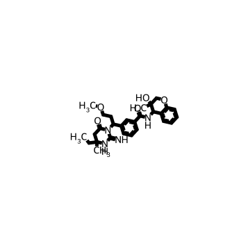 CCC1(C)CC(=O)N(C(CCOC)c2cccc(C(=O)NC3c4ccccc4OCC3(C)O)c2)C(=N)N1